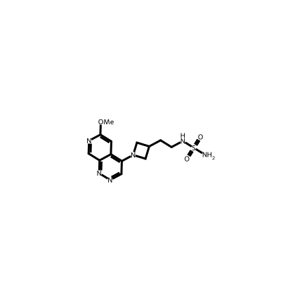 COc1cc2c(N3CC(CCNS(N)(=O)=O)C3)cnnc2cn1